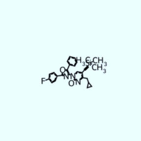 C[Si](C)(C)C#Cc1cn(-c2nc(-c3ccc(F)cc3)oc2-c2ccccc2)c(=O)nc1CC1CC1